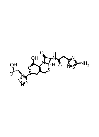 Nc1nc(CC(=O)N[C@@H]2C(=O)N3C(C(=O)O)=C(CSc4nnnn4CC(=O)O)CS[C@H]23)ns1